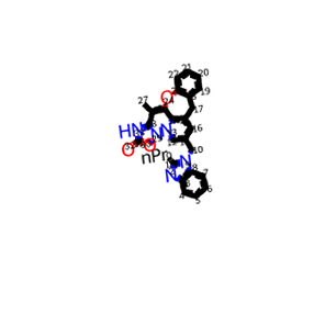 CCCc1nc2ccccc2n1Cc1cnc2c(c1)Cc1ccccc1OC2=C(C)c1noc(=O)[nH]1